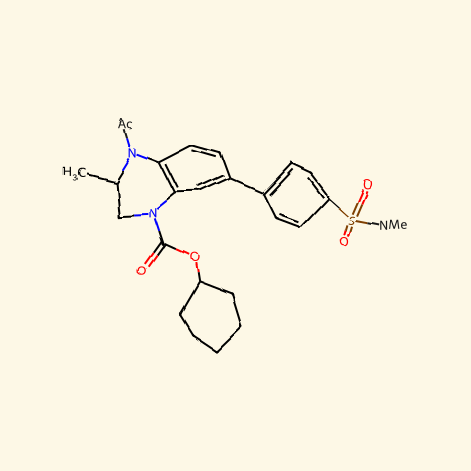 CNS(=O)(=O)c1ccc(-c2ccc3c(c2)N(C(=O)OC2CCCCC2)CC(C)N3C(C)=O)cc1